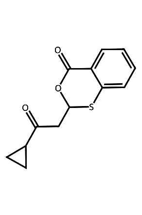 O=C1OC(CC(=O)C2CC2)Sc2ccccc21